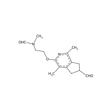 Cc1nc(OCCN(C)C=O)c(C)c2c1CC(C=O)C2